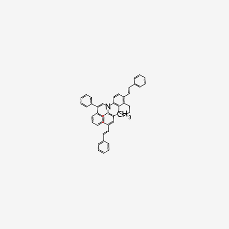 Cc1cc(C=Cc2ccccc2)ccc1N(C=C(c1ccccc1)c1ccccc1)c1ccc(C=Cc2ccccc2)c2c1CCCC2